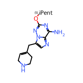 CCC[C@H](C)Oc1nc(N)c2ncc(CC3=CCNCC3)n2n1